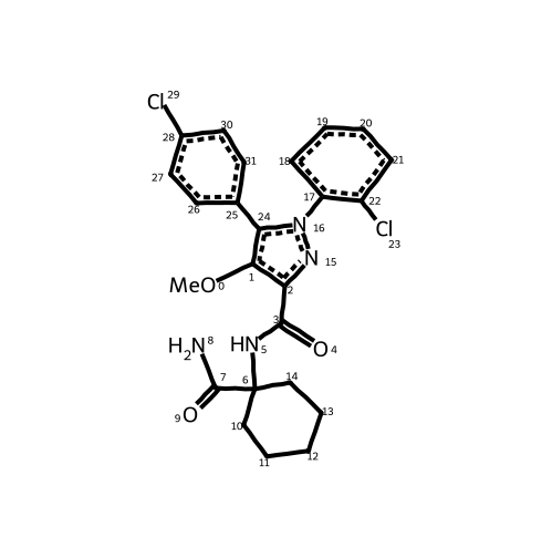 COc1c(C(=O)NC2(C(N)=O)CCCCC2)nn(-c2ccccc2Cl)c1-c1ccc(Cl)cc1